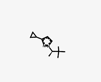 C[C@@H](n1ccc(C2CC2)n1)C(C)(C)C